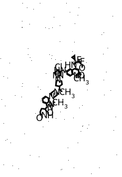 CC(C1CCN(c2ncc(Cl)c(Nc3ccc4c(c3)c3c(c(=O)n4C)OCC(F)(F)[C@H](C4CC4)N3)n2)CC1)N1CCN(c2cccc3c(C4CCC(=O)NC4=O)nn(C)c23)CC1